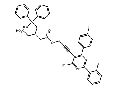 Cc1ccccc1-c1cc(-c2ccc(F)cc2)c(C#CCO[PH](=O)C[C@H](CC(=O)O)O[Si](c2ccccc2)(c2ccccc2)C(C)(C)C)c(C(C)C)n1